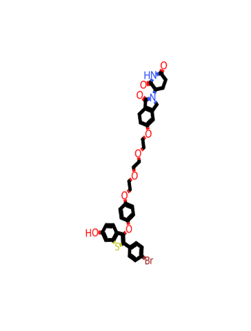 O=C1CCC(N2CC3=C(CCC(OCCOCCOCCOc4ccc(Oc5c(-c6ccc(Br)cc6)sc6cc(O)ccc56)cc4)=C3)C2=O)C(=O)N1